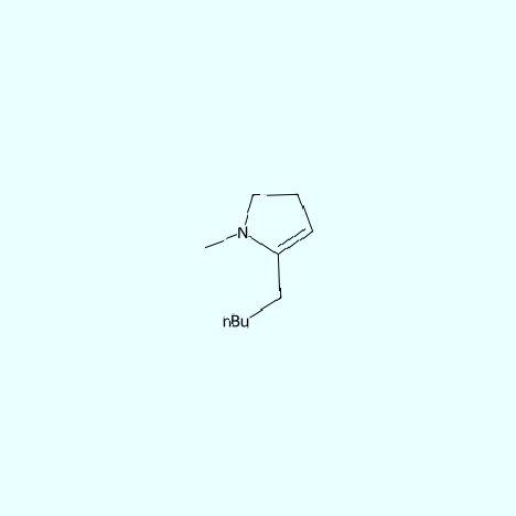 CCCCCC1=CCCN1C